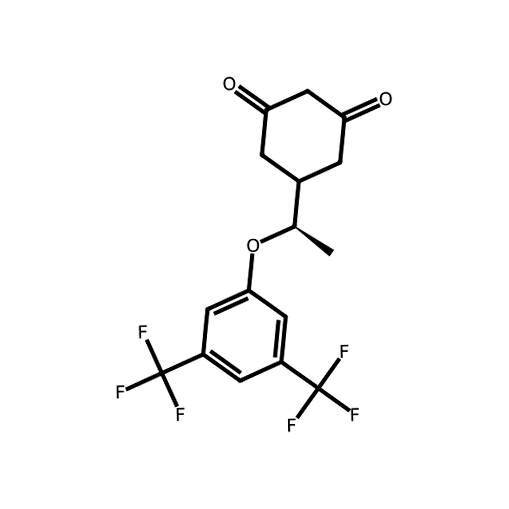 C[C@@H](Oc1cc(C(F)(F)F)cc(C(F)(F)F)c1)C1CC(=O)CC(=O)C1